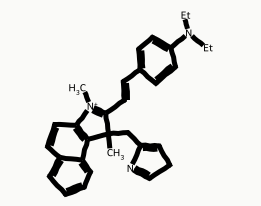 CCN(CC)c1ccc(/C=C/C2=[N+](C)c3ccc4ccccc4c3C2(C)CC2=CCC=N2)cc1